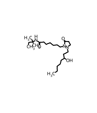 CCCCCC(O)CCN1CCC(=O)N1CCCCCCC(=O)NC(C)(C)CC